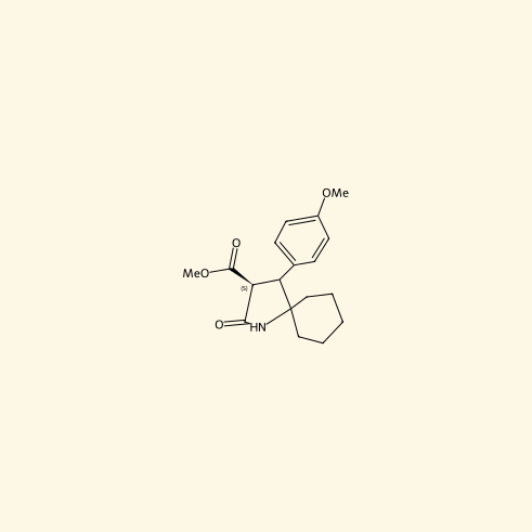 COC(=O)[C@@H]1C(=O)NC2(CCCCC2)C1c1ccc(OC)cc1